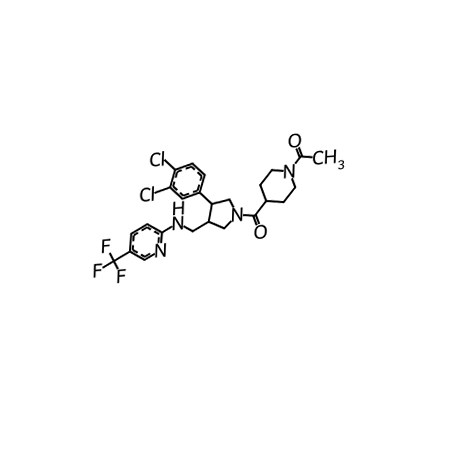 CC(=O)N1CCC(C(=O)N2CC(CNc3ccc(C(F)(F)F)cn3)C(c3ccc(Cl)c(Cl)c3)C2)CC1